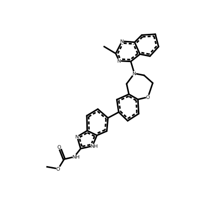 COC(=O)Nc1nc2ccc(-c3ccc4c(c3)CN(c3nc(C)nc5ccccc35)CCO4)cc2[nH]1